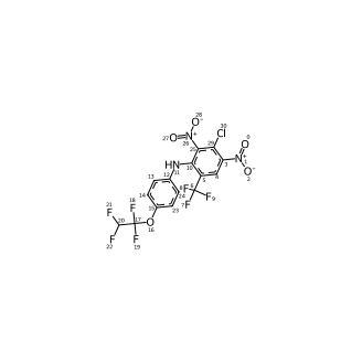 O=[N+]([O-])c1cc(C(F)(F)F)c(Nc2ccc(OC(F)(F)C(F)F)cc2)c([N+](=O)[O-])c1Cl